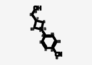 N#Cc1ccc(N2CC(CO)C2)cc1